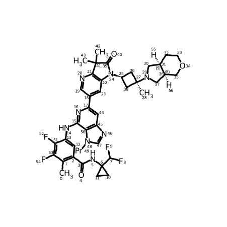 Cc1c(C(=O)NC2(C(F)F)CC2)cc(Nc2nc(-c3cnc4c(c3)N([C@H]3C[C@@](C)(N5C[C@H]6CCOC[C@H]6C5)C3)C(=O)C4(C)C)cc3ncn(C(C)C)c23)c(F)c1F